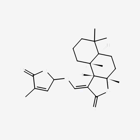 CC1=CC(O/C=C2/C(=O)O[C@@]3(C)CC[C@@H]4C(C)(C)CCC[C@@]4(C)[C@@H]23)OC1=O